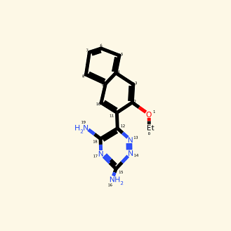 CCOc1cc2ccccc2cc1-c1nnc(N)nc1N